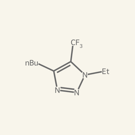 CCCCc1nnn(CC)c1C(F)(F)F